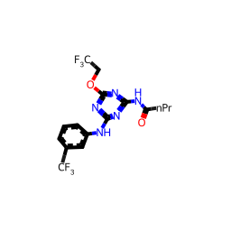 CCCC(=O)Nc1nc(Nc2cccc(C(F)(F)F)c2)nc(OCC(F)(F)F)n1